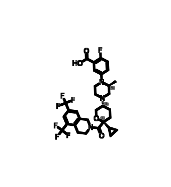 C[C@H]1CN([C@@H]2CC[C@@](C(=O)N3CCc4c(cc(C(F)(F)F)cc4C(F)(F)F)C3)(C3CC3)OC2)CCN1c1ccc(F)c(C(=O)O)c1